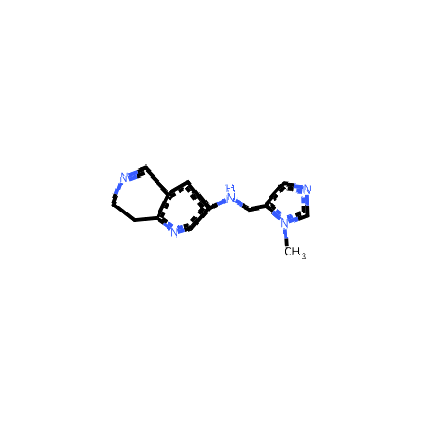 Cn1cncc1CNc1cnc2c(c1)C=NCC2